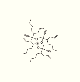 C#CC(C)(O[Si](OC(C)(C#C)C(CC=C)CCCC)(OC(C)(C#C)C(CC=C)CCCC)C(CC=C)CCCC)C(CC=C)CCCC